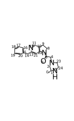 CC1CN(CC(=O)N2CCc3cnc(Cc4ccccc4)cc32)CCN1